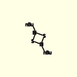 CCC[CH2][Bi]1[S][Bi]([CH2]CCC)[S]1